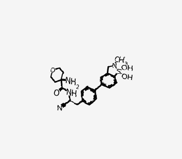 CN1Cc2cc(-c3ccc(C[C@@H](C#N)NC(=O)C4(N)CCOCC4)cc3)ccc2S1(O)O